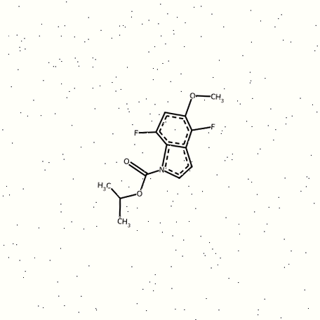 COc1cc(F)c2c(ccn2C(=O)OC(C)C)c1F